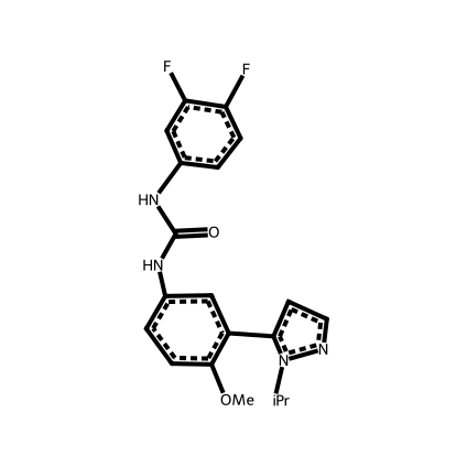 COc1ccc(NC(=O)Nc2ccc(F)c(F)c2)cc1-c1ccnn1C(C)C